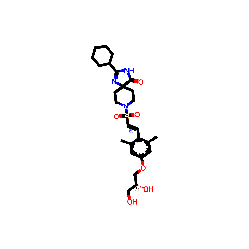 Cc1cc(OC[C@H](O)CO)cc(C)c1/C=C/S(=O)(=O)N1CCC2(CC1)N=C(C1CCCCC1)NC2=O